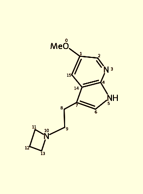 COc1cnc2[nH]cc(CCN3CCC3)c2c1